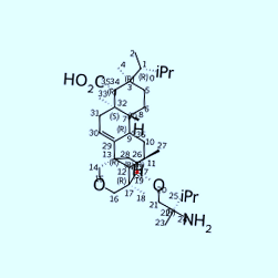 CC(C)[C@@H](C)[C@@]1(C)CC[C@]2(C)[C@H]3CC[C@@H]4[C@@]5(COC[C@]4(C)[C@@H](OC[C@](C)(N)C(C)C)[C@H](C)C5)C3=CC[C@@]2(C)[C@@H]1C(=O)O